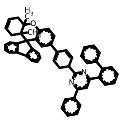 CC12CC=CCC1(C)C1(c3cc(C4=CCC(c5nc(-c6ccccc6)cc(-c6ccccc6-c6ccccc6)n5)C=C4)ccc3O2)c2ccccc2-c2ccccc21